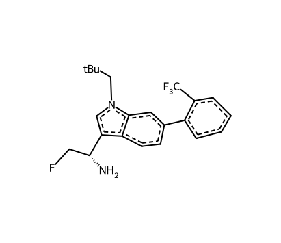 CC(C)(C)Cn1cc([C@H](N)CF)c2ccc(-c3ccccc3C(F)(F)F)cc21